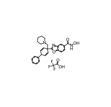 O=C(NO)c1ccc2oc(C3(CN4CCCCC4)C=CC(c4ccccc4)C=C3)nc2c1.O=C(O)C(F)(F)F